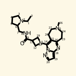 CCN1CCCC1CNC(=O)C1CN(c2c3c(nc4ccnn24)CCN(C)CC3)C1